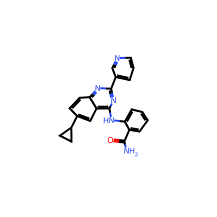 NC(=O)c1ccccc1Nc1nc(-c2cccnc2)nc2ccc(C3CC3)cc12